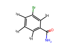 [2H]c1c([2H])c(Br)c([2H])c(C(N)=O)c1[2H]